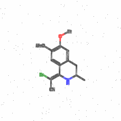 CCOc1cc2c(cc1OC)C(=C(Br)C#N)NC(C)C2